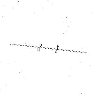 CCCCCCCCCCCCCCCCNC(=O)CCCCCCCCC(=O)NCCCCCCCCCCCCCCCC